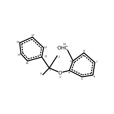 CC(C)(Oc1ccccc1[C]=O)c1ccccc1